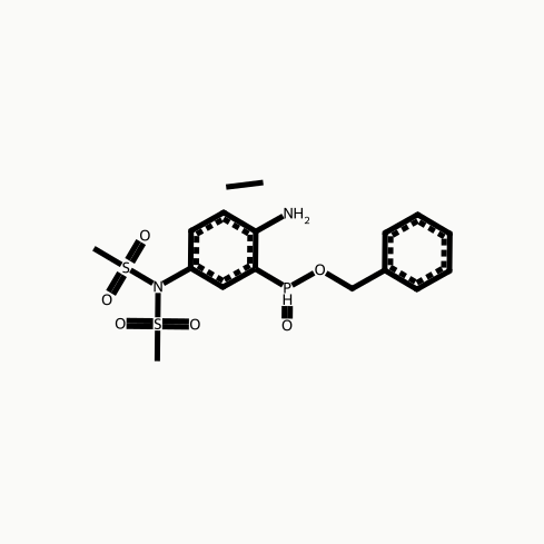 CC.CS(=O)(=O)N(c1ccc(N)c([PH](=O)OCc2ccccc2)c1)S(C)(=O)=O